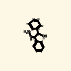 NNC(c1ccccc1)C(O)c1ccccc1